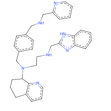 c1ccc(CNCc2ccc(CN(CCNCc3nc4ccccc4[nH]3)C3CCCc4cccnc43)cc2)nc1